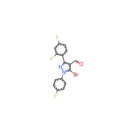 O=Cc1c(-c2ccc(F)cc2F)nn(-c2ccc(F)cc2)c1Br